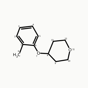 Cc1ccccc1OC1CCOCC1